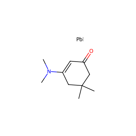 CN(C)C1=CC(=O)CC(C)(C)C1.[Pb]